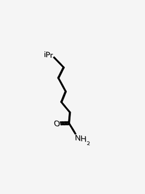 CC(C)CCCCCC(N)=O